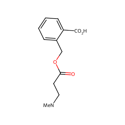 CNCCC(=O)OCc1ccccc1C(=O)O